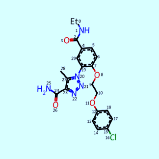 CCNC(=O)c1ccc(OCCOc2ccc(Cl)cc2)c(-n2nnc(C(N)=O)c2C)c1